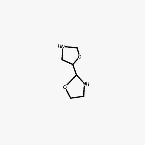 [CH]1CNC(C2CNCO2)O1